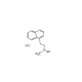 CC(C)N(C)CCc1cccc2ccccc12.Cl